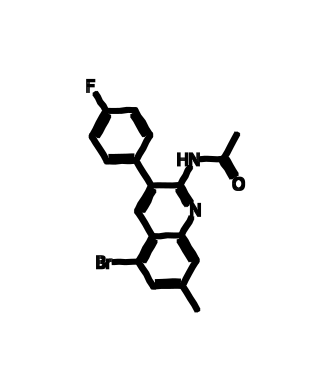 CC(=O)Nc1nc2cc(C)cc(Br)c2cc1-c1ccc(F)cc1